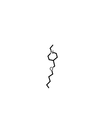 CCCCCOCC1CCN(CC)CC1